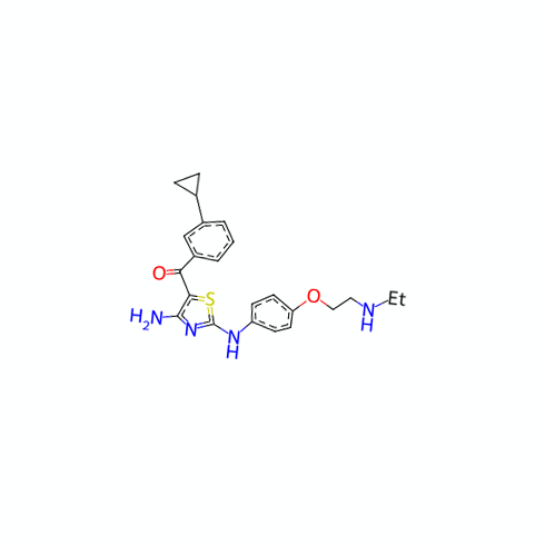 CCNCCOc1ccc(Nc2nc(N)c(C(=O)c3cccc(C4CC4)c3)s2)cc1